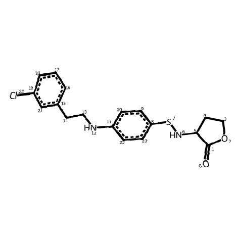 O=C1OCCC1NSc1ccc(NCCc2cccc(Cl)c2)cc1